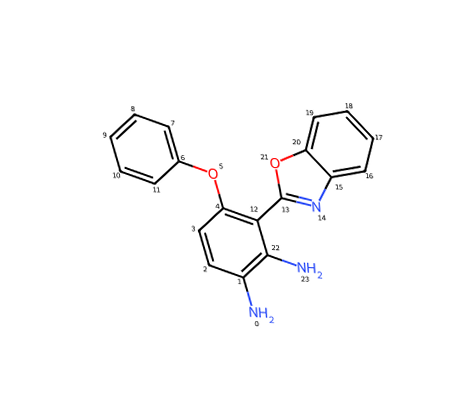 Nc1ccc(Oc2ccccc2)c(-c2nc3ccccc3o2)c1N